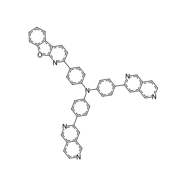 c1ccc2c(c1)oc1nc(-c3ccc(N(c4ccc(-c5cc6cnccc6cn5)cc4)c4ccc(-c5cc6cnccc6cn5)cc4)cc3)ccc12